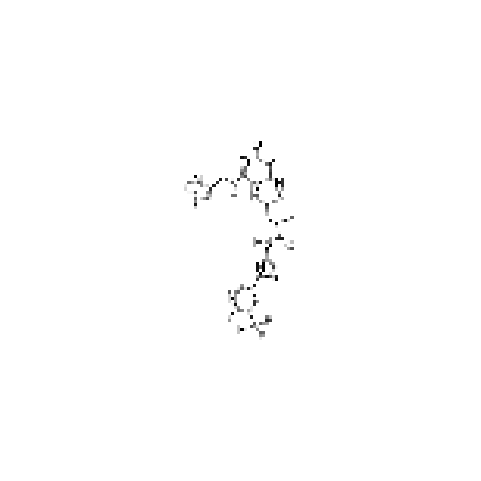 CC(/C=N\C(NC(=O)NCc1cc(C)on1)=C(/C)C=O)=C/[C@@H](C)C(=O)Nc1csc(-c2cnc(C)c(C(F)(F)F)c2)n1